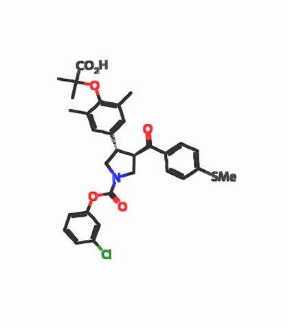 CSc1ccc(C(=O)[C@H]2CN(C(=O)Oc3cccc(Cl)c3)C[C@@H]2c2cc(C)c(OC(C)(C)C(=O)O)c(C)c2)cc1